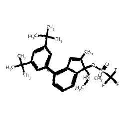 CC1=Cc2c(-c3cc(C(C)(C)C)cc(C(C)(C)C)c3)cccc2C1(OS(=O)(=O)C(F)(F)F)[SiH](C)C